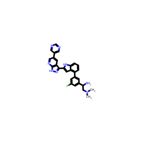 CN(C)CC(N)c1cc(F)cc(-c2cccc3[nH]c(-c4n[nH]c5ncc(-c6cncnc6)cc45)cc23)c1